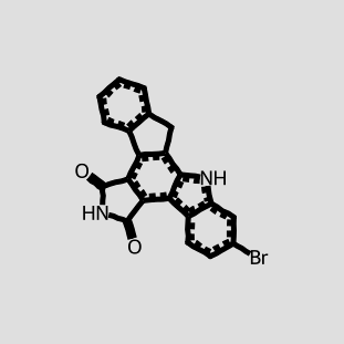 O=C1NC(=O)c2c1c1c(c3[nH]c4cc(Br)ccc4c23)Cc2ccccc2-1